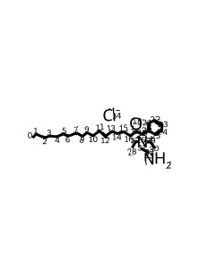 CCCCCCCCCCCCCCCCCC(=O)C(c1ccccc1)[N+](CC)(CC)CCN.[Cl-]